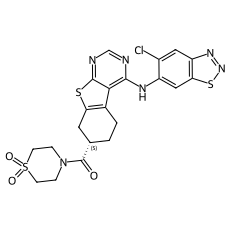 O=C([C@H]1CCc2c(sc3ncnc(Nc4cc5snnc5cc4Cl)c23)C1)N1CCS(=O)(=O)CC1